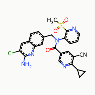 CS(=O)(=O)c1ncccc1N(Cc1ccc2cc(Cl)c(N)nc2c1)C(=O)c1cnc(C2CC2)c(C#N)c1